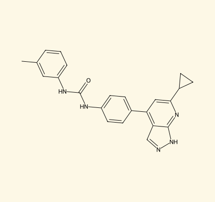 Cc1cccc(NC(=O)Nc2ccc(-c3cc(C4CC4)nc4[nH]ncc34)cc2)c1